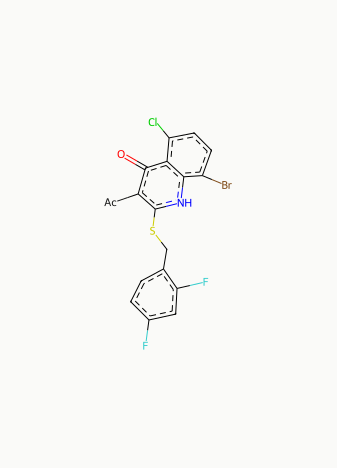 CC(=O)c1c(SCc2ccc(F)cc2F)[nH]c2c(Br)ccc(Cl)c2c1=O